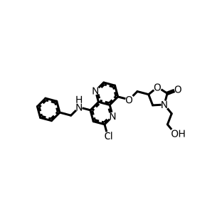 O=C1OC(COc2ccnc3c(NCc4ccccc4)cc(Cl)nc23)CN1CCO